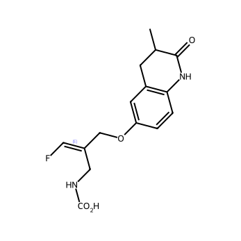 CC1Cc2cc(OC/C(=C/F)CNC(=O)O)ccc2NC1=O